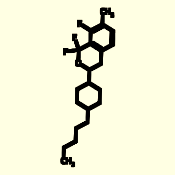 CCCCCC1CCC(C2Cc3ccc(C)c(F)c3C(F)(F)O2)CC1